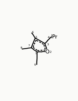 Cc1oc(C(C)C)c(C)c1C